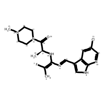 C/C(F)=C(\N=C\c1c[nH]c2ncc(Cl)cc12)N[C@@H](C)C(=O)N1CCN(C)CC1